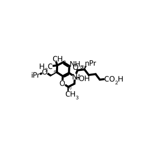 CCC[C@@H](CCCC(=O)O)C(=O)[N@+]1(O)C[C@@H](C)OC2=C1C(N)=CC(C)(C)[C@@H]2COC(C)C